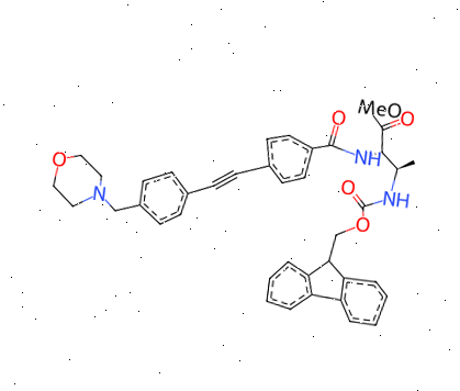 COC(=O)[C@@H](NC(=O)c1ccc(C#Cc2ccc(CN3CCOCC3)cc2)cc1)[C@@H](C)NC(=O)OCC1c2ccccc2-c2ccccc21